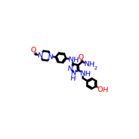 NC(=O)c1c(Nc2ccc(N3CCN(C=O)CC3)cc2)n[nH]c1NCc1ccc(O)cc1